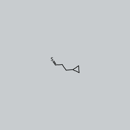 S=CCCC1CC1